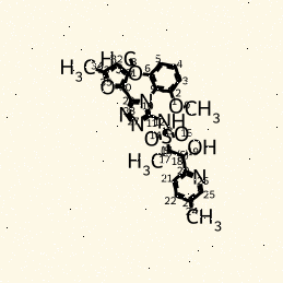 COc1cccc(OC)c1-n1c(NS(=O)(=O)[C@@H](C)[C@@H](O)c2ccc(C)cn2)nnc1-c1ccc(C)o1